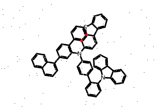 c1ccc(-c2ccc(-c3cccc4ccccc34)cc2N(c2ccc(-c3ccccc3-n3c4ccccc4c4ccccc43)cc2)c2ccc3c(c2)sc2ccccc23)cc1